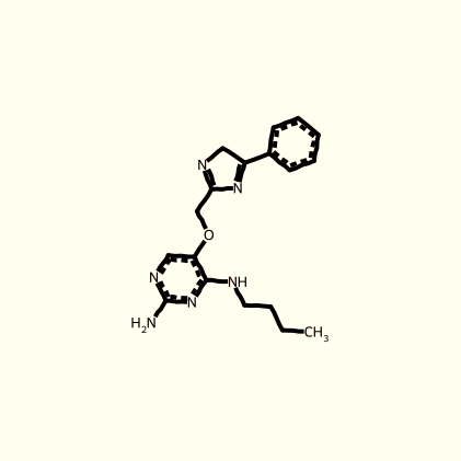 CCCCNc1nc(N)ncc1OCC1=NCC(c2ccccc2)=N1